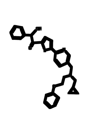 O=C(c1ccc(-c2ccc(CN(CCOc3ccccc3)CC3CC3)cn2)s1)C(O)c1ccccc1